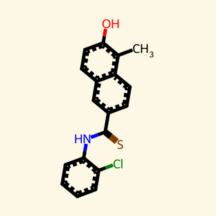 Cc1c(O)ccc2cc(C(=S)Nc3ccccc3Cl)ccc12